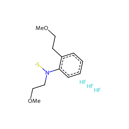 COCCc1ccccc1N([S])CCOC.F.F.F